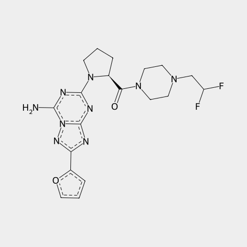 Nc1nc(N2CCC[C@H]2C(=O)N2CCN(CC(F)F)CC2)nc2nc(-c3ccco3)nn12